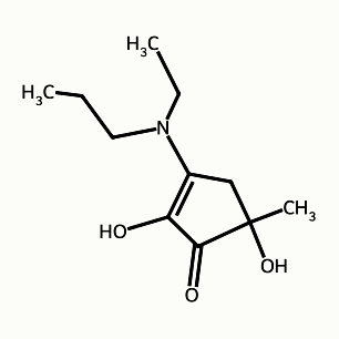 CCCN(CC)C1=C(O)C(=O)C(C)(O)C1